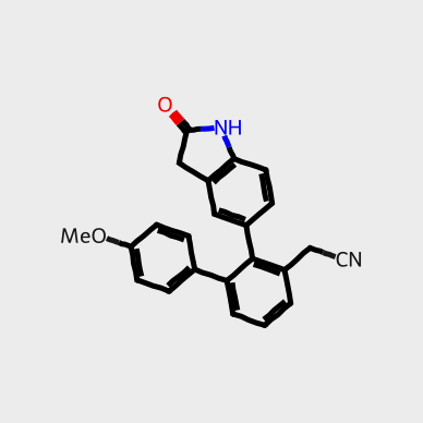 COc1ccc(-c2cccc(CC#N)c2-c2ccc3c(c2)CC(=O)N3)cc1